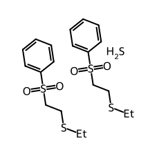 CCSCCS(=O)(=O)c1ccccc1.CCSCCS(=O)(=O)c1ccccc1.S